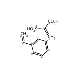 C=C(C(=O)O)S(=O)(=O)O.C=Cc1ccccc1